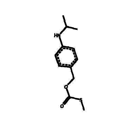 CSC(=O)OCc1ccc(NC(C)C)cc1